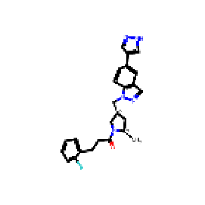 C[C@@H]1C[C@H](Cn2ncc3cc(-c4cn[nH]c4)ccc32)CN1C(=O)CCc1ccccc1F